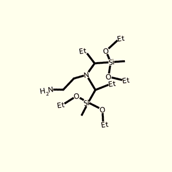 CCO[Si](C)(OCC)C(CC)N(CCN)C(CC)[Si](C)(OCC)OCC